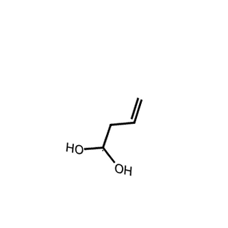 C=CC[C](O)O